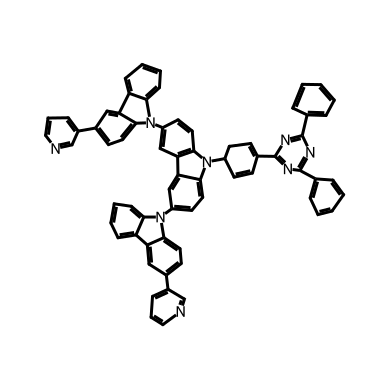 C1=CC(n2c3ccc(-n4c5ccccc5c5cc(-c6cccnc6)ccc54)cc3c3cc(-n4c5ccccc5c5cc(-c6cccnc6)ccc54)ccc32)CC=C1c1nc(-c2ccccc2)nc(-c2ccccc2)n1